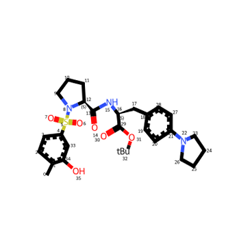 Cc1ccc(S(=O)(=O)N2CCC[C@H]2C(=O)N[C@@H](Cc2ccc(N3CCCC3)cc2)C(=O)OC(C)(C)C)cc1O